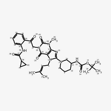 CC(C)=CCn1c(N2CCCC(NC(=O)OC(C)(C)C)C2)nc2c1c(=O)n(CC(=O)c1ccccc1NC(=O)C1CC1)c(=O)n2C